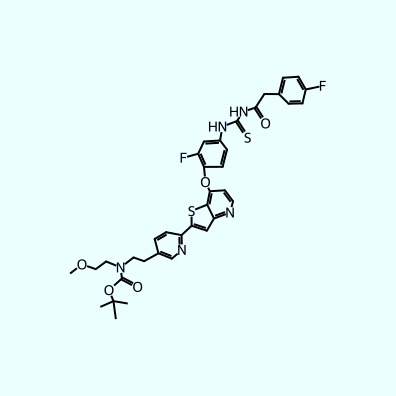 COCCN(CCc1ccc(-c2cc3nccc(Oc4ccc(NC(=S)NC(=O)Cc5ccc(F)cc5)cc4F)c3s2)nc1)C(=O)OC(C)(C)C